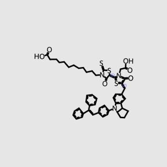 O=C(O)CCCCCCCCCCCN1C(=O)/C(=c2\s/c(=C\c3ccc4c(c3)C3CCCC3N4c3ccc(C=C(c4ccccc4)c4ccccc4)cc3)c(=O)n2CC(=O)O)SC1=S